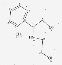 Cc1ccccc1C(CO)NCCO